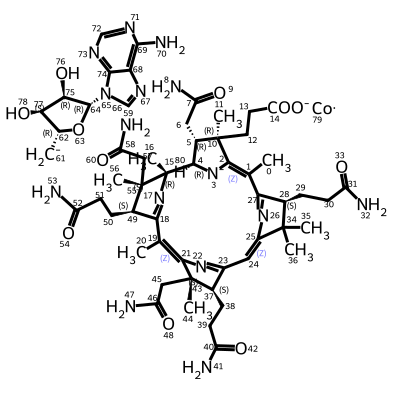 C/C1=C2/[N-][C@H]([C@H](CC(N)=O)[C@@]2(C)CCC(=O)[O-])[C@]2(C)N=C(/C(C)=C3N=C(/C=C4N=C1[C@@H](CCC(N)=O)C\4(C)C)[C@@H](CCC(N)=O)[C@]\3(C)CC(N)=O)[C@@H](CCC(N)=O)[C@]2(C)CC(N)=O.[CH2-][C@H]1O[C@@H](n2cnc3c(N)ncnc32)[C@H](O)[C@@H]1O.[Co]